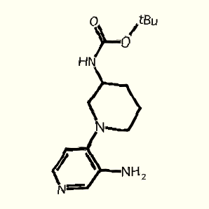 CC(C)(C)OC(=O)NC1CCCN(c2ccncc2N)C1